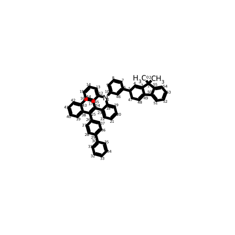 CC1(C)C2=CC(c3cccc(N(c4ccccc4)c4ccccc4C4=C(c5ccc(-c6ccccc6)cc5)c5ccccc5CC4)c3)CC=C2c2ccccc21